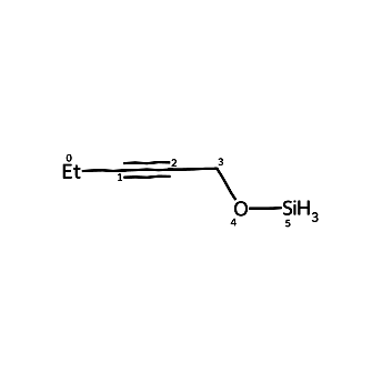 CCC#CCO[SiH3]